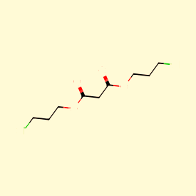 O=C(CC(=O)OCCCCl)OCCCCl